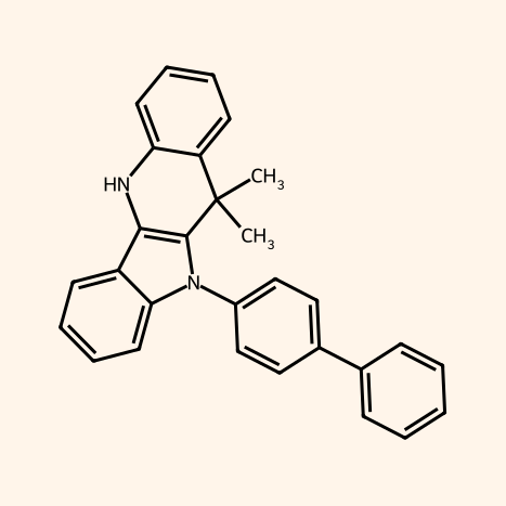 CC1(C)c2ccccc2Nc2c1n(-c1ccc(-c3ccccc3)cc1)c1ccccc21